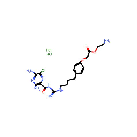 Cl.Cl.N=C(NCCCCc1ccc(OCC(=O)OCCN)cc1)NC(=O)c1nc(Cl)c(N)nc1N